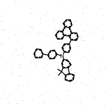 CC1(C)c2ccccc2-c2ccc(N(c3ccc(-c4ccccc4)cc3)c3ccc(-c4cccc5c6ccccc6c6ccccc6c45)cc3)cc21